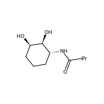 CC(C)C(=O)N[C@@H]1CCC[C@@H](O)[C@H]1O